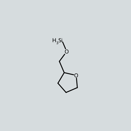 [SiH3]OCC1CCCO1